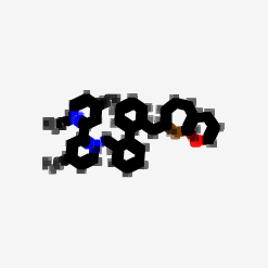 C[n+]1ccc(C(F)(F)F)cc1-c1cc(C(F)(F)F)cc[n+]1Cc1ccccc1-c1ccccc1CC1=CCCC2=C(OC=CC2)S1